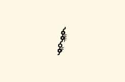 CCCc1ccc(-c2ccc(CCC3CCC(c4ccc(CC)cc4F)CC3)c(F)c2F)cc1